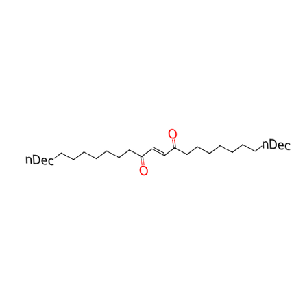 CCCCCCCCCCCCCCCCCC(=O)/C=C/C(=O)CCCCCCCCCCCCCCCCC